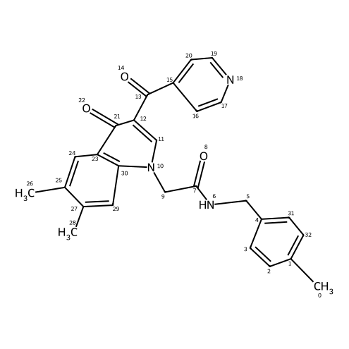 Cc1ccc(CNC(=O)Cn2cc(C(=O)c3ccncc3)c(=O)c3cc(C)c(C)cc32)cc1